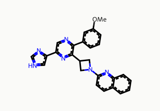 COc1cccc(-c2ncc(-c3c[nH]cn3)nc2C2CN(c3ccc4ccccc4n3)C2)c1